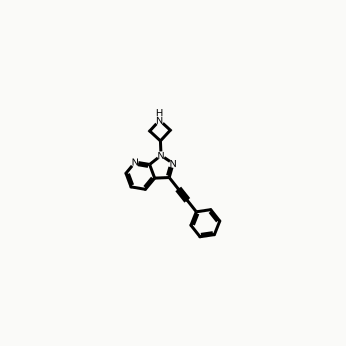 C(#Cc1nn(C2CNC2)c2ncccc12)c1ccccc1